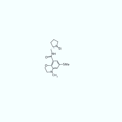 CCN1CCC[C@H]1CNC(=O)c1cc(SC)cc2c1OCCN2C